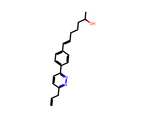 C=CCc1ccc(-c2ccc(C=CCCCC(C)O)cc2)nn1